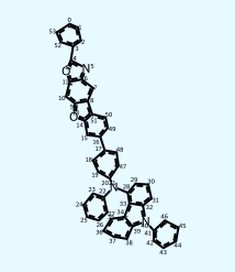 c1ccc(-c2nc3cc4c(cc3o2)oc2cc(-c3ccc(N(c5ccccc5)c5cccc6c5c5ccccc5n6-c5ccccc5)cc3)ccc24)cc1